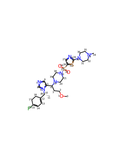 COCCC(c1cncn1[C@H](C)C1=CC=C(F)CC1)N1CCN(S(=O)(=O)c2cnc(N3CCN(C)CC3)s2)CC1